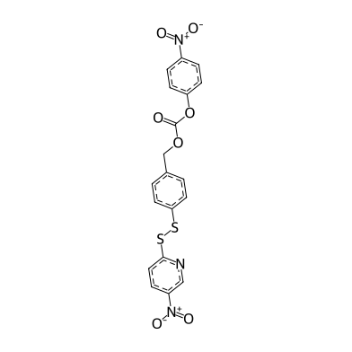 O=C(OCc1ccc(SSc2ccc([N+](=O)[O-])cn2)cc1)Oc1ccc([N+](=O)[O-])cc1